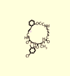 C[C@H]1NC(=O)CCCCNCCOc2ccccc2/C=C/CNC(=O)[C@@H](Cc2cccc(Cl)c2)NC1=O